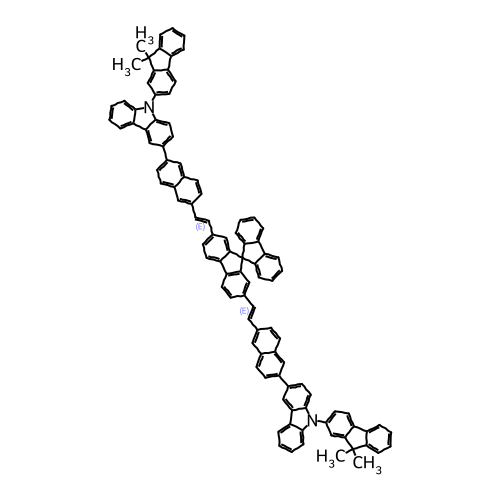 CC1(C)c2ccccc2-c2ccc(-n3c4ccccc4c4cc(-c5ccc6cc(/C=C/c7ccc8c(c7)C7(c9ccccc9-c9ccccc97)c7cc(/C=C/c9ccc%10cc(-c%11ccc%12c(c%11)c%11ccccc%11n%12-c%11ccc%12c(c%11)C(C)(C)c%11ccccc%11-%12)ccc%10c9)ccc7-8)ccc6c5)ccc43)cc21